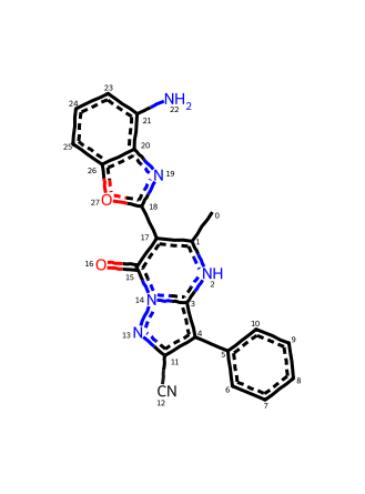 Cc1[nH]c2c(-c3ccccc3)c(C#N)nn2c(=O)c1-c1nc2c(N)cccc2o1